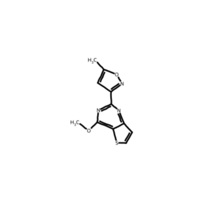 COc1nc(-c2cc(C)on2)nc2ccsc12